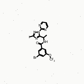 CC(NC(=O)c1cc(Br)cc(OC(F)(F)F)c1)c1nc(I)nn1-c1ncccn1